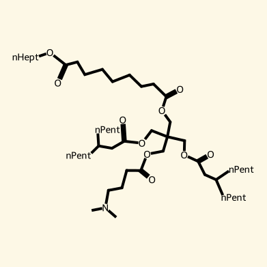 CCCCCCCOC(=O)CCCCCCCC(=O)OCC(COC(=O)CCCN(C)C)(COC(=O)CC(CCCCC)CCCCC)COC(=O)CC(CCCCC)CCCCC